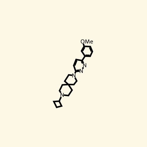 COc1cccc(-c2ccc(N3CCC4(CC3)CCN(C3CCC3)CC4)nn2)c1